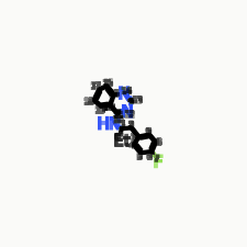 CCC(Cc1ccc(F)cc1)Nc1ncnc2ccccc12